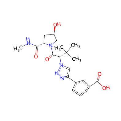 CNC(=O)[C@@H]1C[C@@H](O)CN1C(=O)[C@@H](n1cc(-c2cccc(C(=O)O)c2)nn1)C(C)(C)C